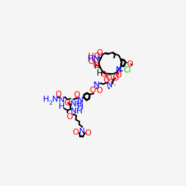 COc1cc2cc(c1Cl)N(C)C(=O)C[C@H](OC(=O)[C@H](C)N(C)C(=O)CCN(C)C(=O)OCc1ccc(NC(=O)[C@@H](CCCNC(N)=O)NC(=O)C(NC(=O)CCCCCN3C(=O)C=CC3=O)C(C)C)cc1)[C@]1(C)O[C@H]1[C@H](C)[C@@H]1C[C@](O)(NC(=O)O1)[C@H](OC)/C=C/C=C(\C)C2